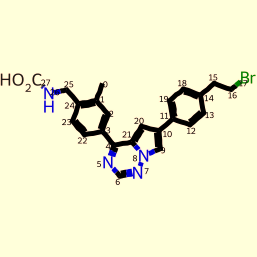 Cc1cc(-c2ncnn3cc(-c4ccc(CCBr)cc4)cc23)ccc1CNC(=O)O